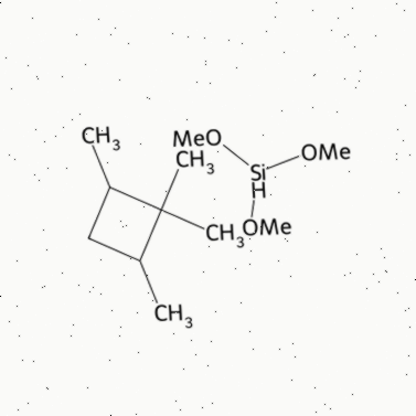 CC1CC(C)C1(C)C.CO[SiH](OC)OC